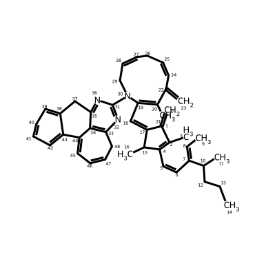 C=C1C(C)=C(/C=C\C(=C\C)C(C)CCC)C(C)/C1=C/C1=C(\C)C(=C)/C=C\C/C=C\CN1c1nc2c3c(n1)Cc1ccccc1C3=CC=CC2